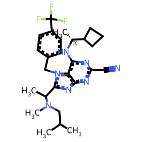 CC(C)CN(C)C(C)c1nc2nc(C#N)nc(N[C@H](C)C3CCC3)c2n1Cc1ccc(C(F)(F)F)cc1